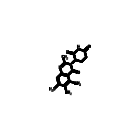 Bc1cc2nc(C)n(C3CCC(=O)NC3=O)c(=O)c2c(N)c1B